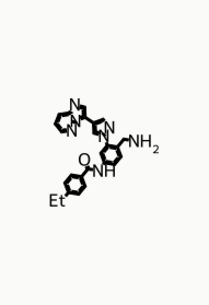 CCc1ccc(C(=O)Nc2ccc(CN)c(-n3cc(-c4cnc5cccnn45)cn3)c2)cc1